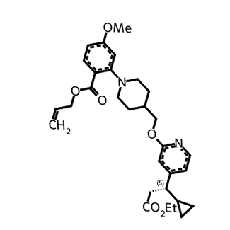 C=CCOC(=O)c1ccc(OC)cc1N1CCC(COc2cc([C@@H](CC(=O)OCC)C3CC3)ccn2)CC1